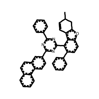 CC1C=Cc2c(oc3ccc(-c4ccccc4)c(-c4nc(-c5ccccc5)nc(-c5ccc6c(ccc7ccccc76)c5)n4)c23)C1